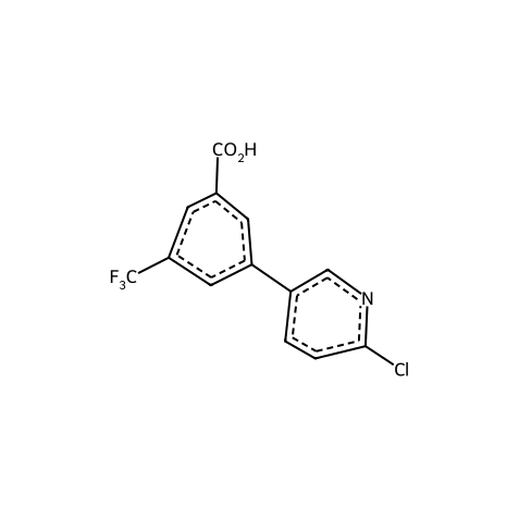 O=C(O)c1cc(-c2ccc(Cl)nc2)cc(C(F)(F)F)c1